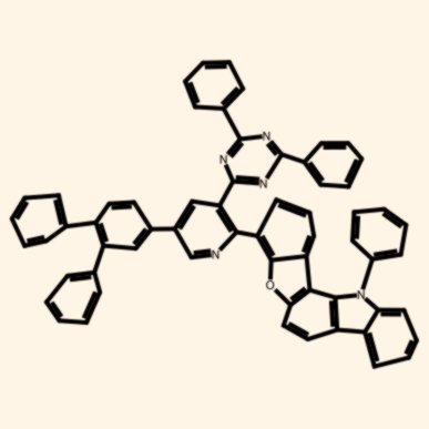 c1ccc(-c2nc(-c3ccccc3)nc(-c3cc(-c4ccc(-c5ccccc5)c(-c5ccccc5)c4)cnc3-c3cccc4c3oc3ccc5c6ccccc6n(-c6ccccc6)c5c34)n2)cc1